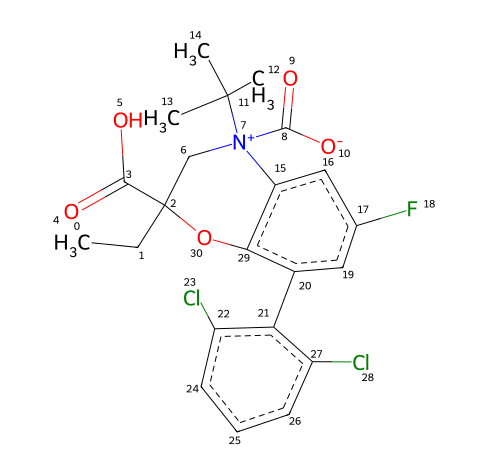 CCC1(C(=O)O)C[N+](C(=O)[O-])(C(C)(C)C)c2cc(F)cc(-c3c(Cl)cccc3Cl)c2O1